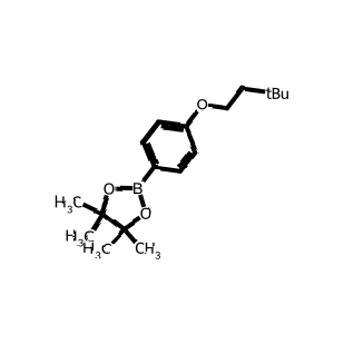 CC(C)(C)CCOc1ccc(B2OC(C)(C)C(C)(C)O2)cc1